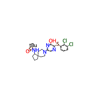 CC(C)(C)[S@@+]([O-])N[C@@H]1CCCC12CCN(c1cnc(Sc3cccc(Cl)c3Cl)c(O)n1)CC2